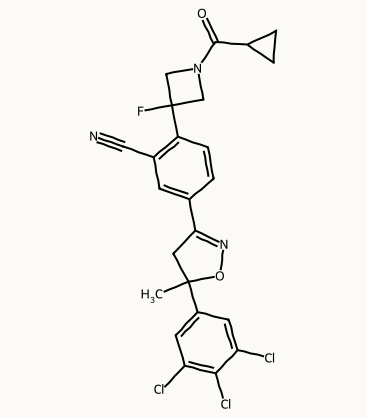 CC1(c2cc(Cl)c(Cl)c(Cl)c2)CC(c2ccc(C3(F)CN(C(=O)C4CC4)C3)c(C#N)c2)=NO1